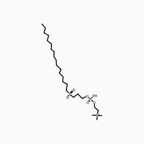 CCCCCCCCCCCCCCCCCS(=O)(=O)CCCOP(=O)(O)OCC[N+](C)(C)C